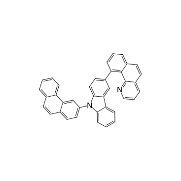 c1ccc2c(c1)ccc1ccc(-n3c4ccccc4c4cc(-c5cccc6ccc7cccnc7c56)ccc43)cc12